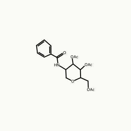 CC(=O)OCC1OCC(NC(=O)c2ccccc2)C(OC(C)=O)C1OC(C)=O